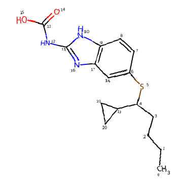 CCCCC(Sc1ccc2[nH]c(NC(=O)O)nc2c1)C1CC1